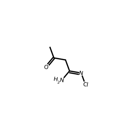 CC(=O)C/C(N)=N/Cl